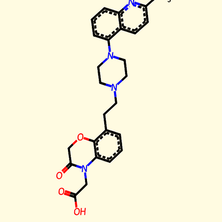 Cc1ccc2c(N3CCN(CCc4cccc5c4OCC(=O)N5CC(=O)O)CC3)cccc2n1